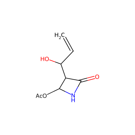 C=CC(O)C1C(=O)NC1OC(C)=O